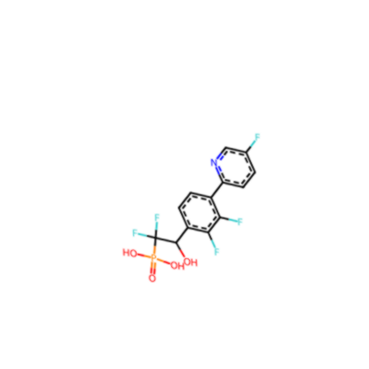 O=P(O)(O)C(F)(F)C(O)c1ccc(-c2ccc(F)cn2)c(F)c1F